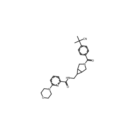 CC(C)(C#N)c1ccc(C(=O)N2CC3C(CNC(=O)c4[c]ccc(N5CCOCC5)n4)C3C2)cc1